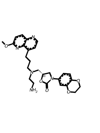 COc1ccc2nccc(CCCN(CCN)C[C@@H]3CN(c4ccc5c(c4)OCCO5)C(=O)O3)c2n1